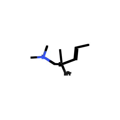 CC=C[Si](C)(CCC)CN(C)C